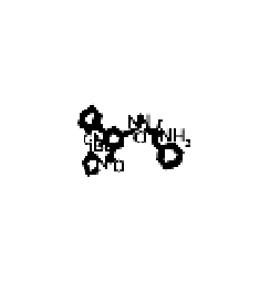 CCC(C)C1CCCN1C(=O)c1cc(-c2nnc([C@](C)(N)Cc3ccccc3)o2)cc(-c2ccccc2C#N)c1